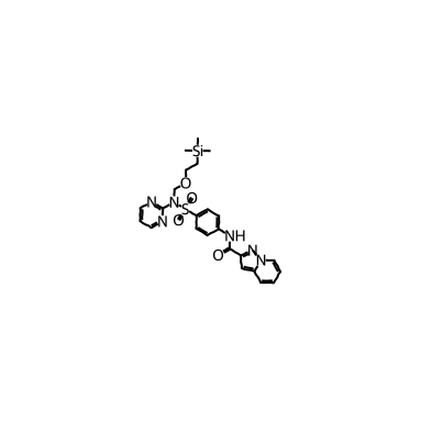 C[Si](C)(C)CCOCN(c1ncccn1)S(=O)(=O)c1ccc(NC(=O)c2cc3ccccn3n2)cc1